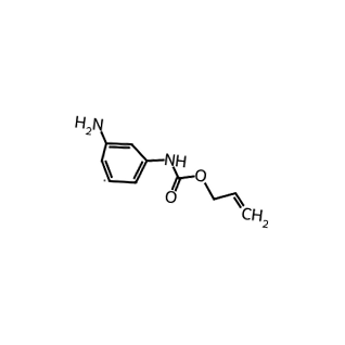 C=CCOC(=O)Nc1c[c]cc(N)c1